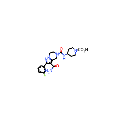 NC(=O)c1c(-c2cccc(F)c2)nn2c1CN(C(=O)NC1CCN(C(=O)O)CC1)CC2